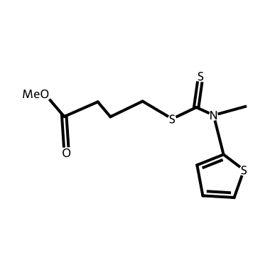 COC(=O)CCCSC(=S)N(C)c1cccs1